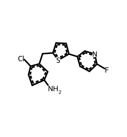 Nc1ccc(Cl)c(Cc2ccc(-c3ccc(F)nc3)s2)c1